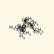 COC(=O)[C@H](Cc1ccc(OC(=O)C(C)C)c(OC(=O)C(C)C)c1)NCC(C)OC(=O)OCCC(C)C